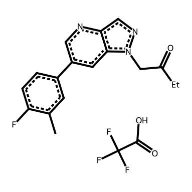 CCC(=O)Cn1ncc2ncc(-c3ccc(F)c(C)c3)cc21.O=C(O)C(F)(F)F